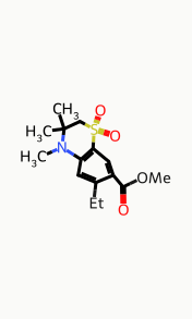 CCc1cc2c(cc1C(=O)OC)S(=O)(=O)CC(C)(C)N2C